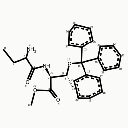 CCC(N)C(=O)N[C@H](C(=O)OC)[C@@H](C)OC(c1ccccc1)(c1ccccc1)c1ccccc1